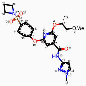 COC[C@@H](C)Oc1cc(C(=O)Nc2ccn(C)n2)cc(Oc2ccc(S(=O)(=O)N3CCC3)cc2)n1